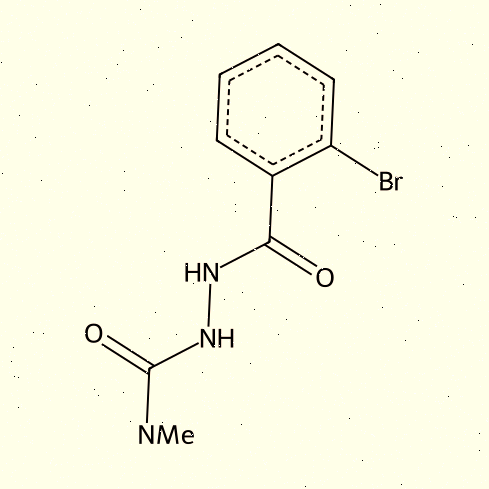 CNC(=O)NNC(=O)c1ccccc1Br